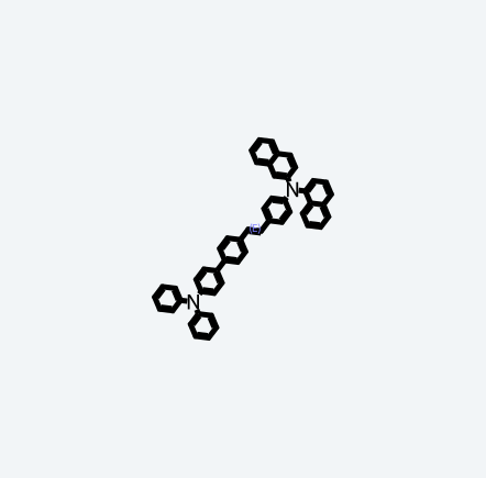 C(=C\c1ccc(N(c2ccc3ccccc3c2)c2cccc3ccccc23)cc1)/c1ccc(-c2ccc(N(c3ccccc3)c3ccccc3)cc2)cc1